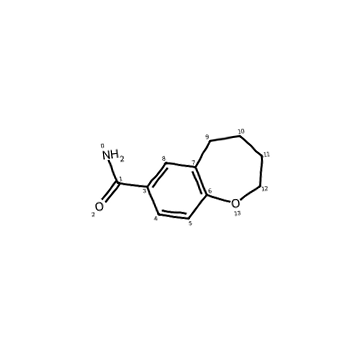 NC(=O)c1ccc2c(c1)CCCCO2